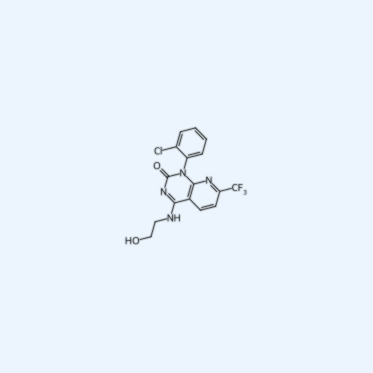 O=c1nc(NCCO)c2ccc(C(F)(F)F)nc2n1-c1ccccc1Cl